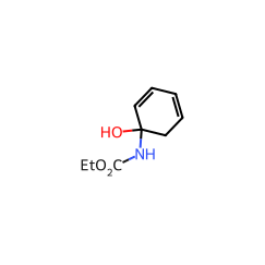 CCOC(=O)NC1(O)C=CC=CC1